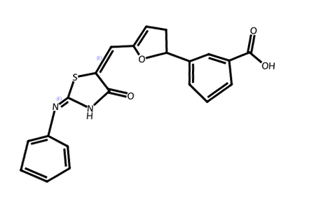 O=C1N/C(=N\c2ccccc2)S/C1=C/C1=CCC(c2cccc(C(=O)O)c2)O1